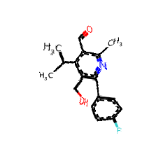 Cc1nc(-c2ccc(F)cc2)c(CO)c(C(C)C)c1C=O